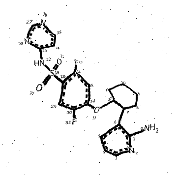 Nc1ncccc1C1CCCCC1Oc1cc(F)c(S(=O)(=O)Nc2ccncn2)cc1F